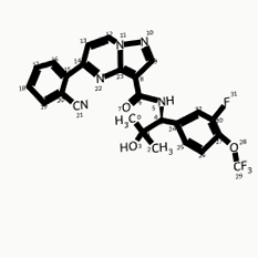 CC(C)(O)[C@@H](NC(=O)c1cnn2ccc(-c3ccccc3C#N)nc12)c1ccc(OC(F)(F)F)c(F)c1